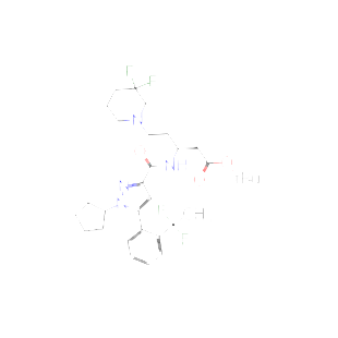 CC(C)(C)OC(=O)C[C@H](CCN1CCCC(F)(F)C1)NC(=O)c1cc(-c2ccccc2C(C)(F)F)n(C2CCCC2)n1